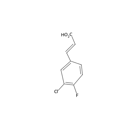 O=C(O)C=Cc1ccc(F)c(Cl)c1